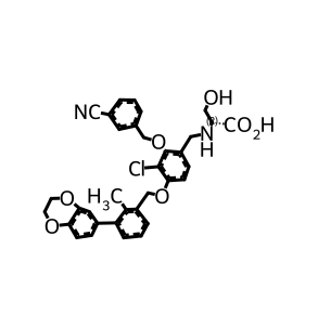 Cc1c(COc2ccc(CN[C@H](CO)C(=O)O)c(OCc3cccc(C#N)c3)c2Cl)cccc1-c1ccc2c(c1)OCCO2